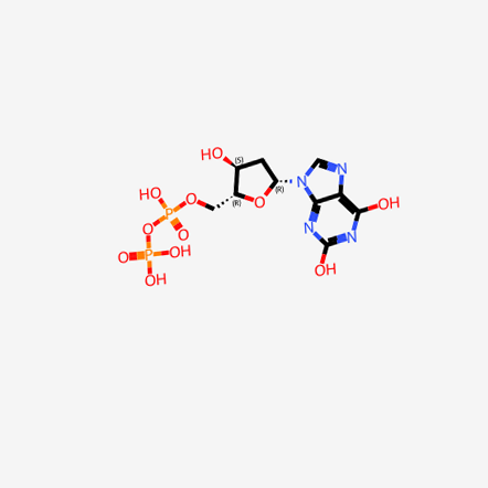 O=P(O)(O)OP(=O)(O)OC[C@H]1O[C@@H](n2cnc3c(O)nc(O)nc32)C[C@@H]1O